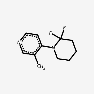 Cc1[c]nccc1N1CCCCC1(F)F